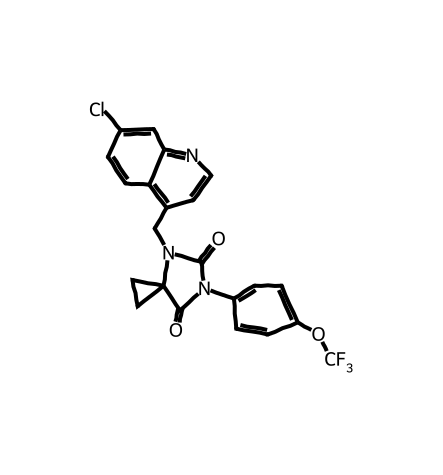 O=C1N(c2ccc(OC(F)(F)F)cc2)C(=O)C2(CC2)N1Cc1ccnc2cc(Cl)ccc12